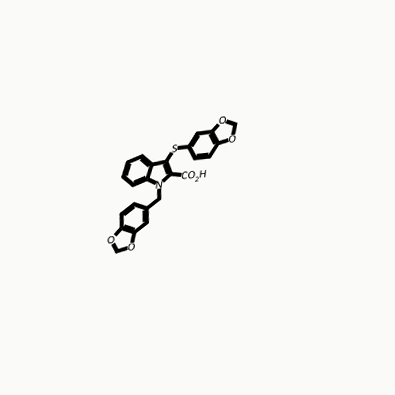 O=C(O)c1c(Sc2ccc3c(c2)OCO3)c2ccccc2n1Cc1ccc2c(c1)OCO2